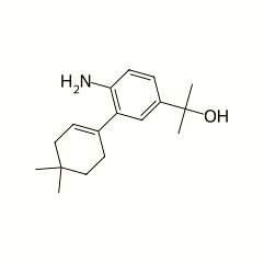 CC1(C)CC=C(c2cc(C(C)(C)O)ccc2N)CC1